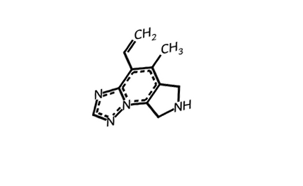 C=Cc1c(C)c2c(n3ncnc13)CNC2